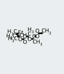 C=CC(=O)OOC(C)OC(C)OC(=O)OC(C)(C)C(C)(C)CC